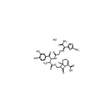 CN(C(=O)OCC1C(=O)N2C(C(=O)O)=CCS[C@@H]12)N(NC(=O)CON=C(C(N)=O)c1csc(N)n1)C(=O)c1ccc(O)c(O)c1.Cl